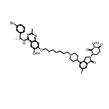 COc1cc2c(N[C@H](C)c3cccc(Br)c3)nc(C)nc2cc1OCCCCCCCN1CCC(c2cc(F)cc3c2CN(C2CCC(=O)N(C=O)C2=O)C3=O)CC1